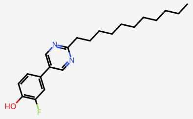 CCCCCCCCCCCc1ncc(-c2ccc(O)c(F)c2)cn1